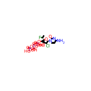 CC(F)[C@]12O[C@@H](n3ccc(N)nc3=O)[C@H](Cl)[C@@]1(O)C2OP(=O)(O)OP(=O)(O)OP(=O)(O)O